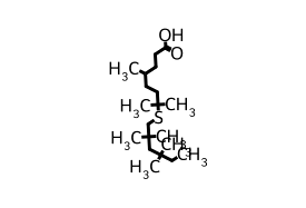 CCC(C)(C)CC(C)(C)CSC(C)(C)CCC(C)CCC(=O)O